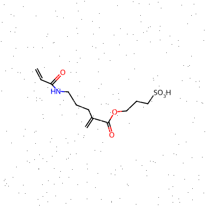 C=CC(=O)NCCCC(=C)C(=O)OCCCS(=O)(=O)O